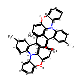 Cc1cc(-c2cc(C(F)(F)F)ccc2N2c3ccccc3Oc3ccccc32)c(C)cc1-c1cc(C(F)(F)F)ccc1N1c2ccccc2Oc2ccccc21